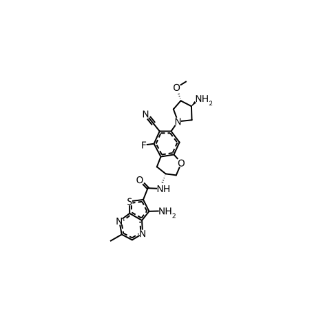 CO[C@H]1CN(c2cc3c(c(F)c2C#N)C[C@@H](NC(=O)c2sc4nc(C)cnc4c2N)CO3)C[C@@H]1N